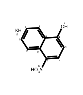 O=S(=O)(O)c1ccc(O)c2ccccc12.[KH]